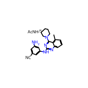 CC(=O)N[C@@H]1CCCN(c2nc(Nc3cc(N)cc(C#N)c3)nc3cccc(C)c23)C1